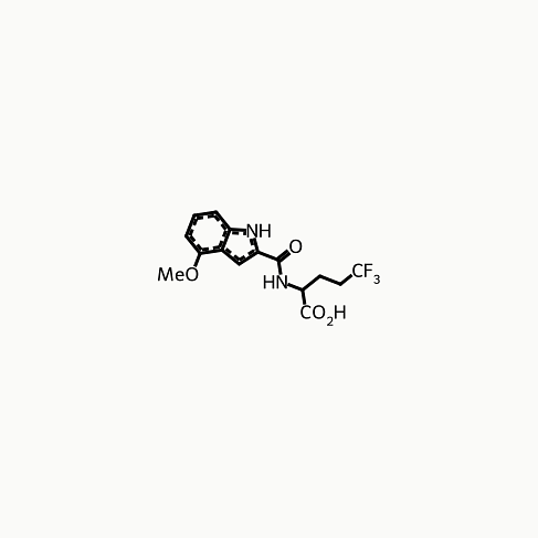 COc1cccc2[nH]c(C(=O)NC(CCC(F)(F)F)C(=O)O)cc12